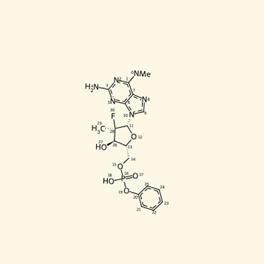 CNc1nc(N)nc2c1ncn2[C@@H]1O[C@H](COP(=O)(O)Oc2ccccc2)[C@@H](O)[C@@]1(C)F